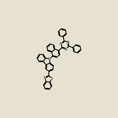 c1ccc(-c2nc(-c3ccccc3)nc(-c3ccc(-n4c5ccccc5c5cc(-c6nc7ccccc7s6)ccc54)c4ccccc34)n2)cc1